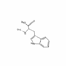 COC(=O)C(Cc1c[nH]c2ccccc12)NC=O